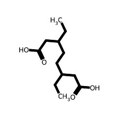 CCC(CCC(CC)CC(=O)O)CC(=O)O